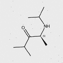 CC(C)N[C@@H](C)C(=O)C(C)C